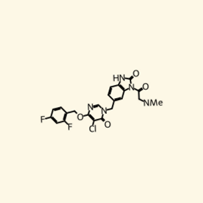 CNCC(=O)n1c(=O)[nH]c2ccc(Cn3cnc(OCc4ccc(F)cc4F)c(Cl)c3=O)cc21